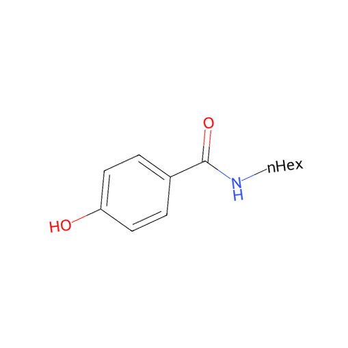 CCCCCCNC(=O)c1ccc(O)cc1